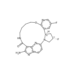 Nc1nn2ccc3nc2c1C(=O)NCCCCOc1ncc(F)cc1[C@H]1C[C@H](F)CN31